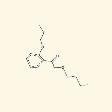 CCCCOCC(=O)c1ccccc1OCOC